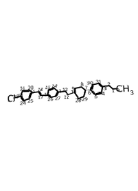 CCCc1ccc([C@H]2CC[C@H](CCc3ccc(/C=C/c4ccc(Cl)cc4)cc3)CC2)cc1